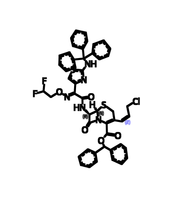 O=C(N[C@@H]1C(=O)N2C(C(=O)OC(c3ccccc3)c3ccccc3)=C(/C=C\CCl)CS[C@@H]12)C(=NOCC(F)F)c1csc(NC(c2ccccc2)(c2ccccc2)c2ccccc2)n1